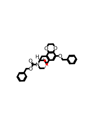 O=C(OCc1ccccc1)N1CC[C@@]23CCCCC2[C@@H]1Cc1c3cc(OCc2ccccc2)c2c1OCCO2